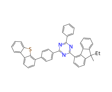 CCC1(C)c2ccccc2-c2c(-c3nc(-c4ccccc4)nc(-c4ccc(-c5cccc6c5sc5ccccc56)cc4)n3)cccc21